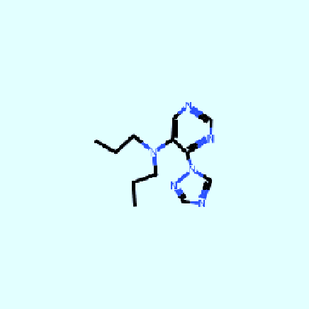 CCCN(CCC)c1cncnc1-n1cncn1